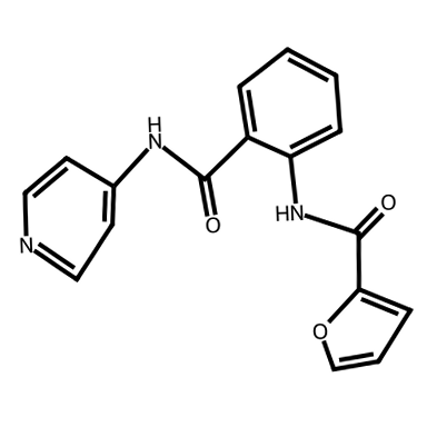 O=C(Nc1ccccc1C(=O)Nc1ccncc1)c1ccco1